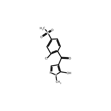 Cn1ncc(C(=O)c2ccc(S(C)(=O)=O)cc2Cl)c1O